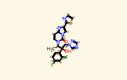 C[C@@H](n1ccc2nc(-c3nccs3)cn2c1=O)C(O)(Cn1cncn1)c1ccc(F)cc1F